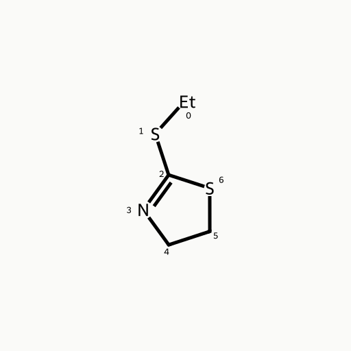 [CH2]CSC1=NCCS1